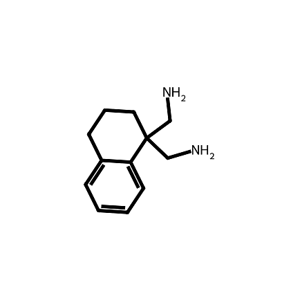 NCC1(CN)CCCc2ccccc21